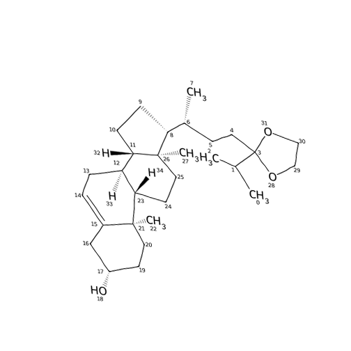 CC(C)C1(CC[C@@H](C)[C@H]2CC[C@H]3[C@@H]4CC=C5C[C@@H](O)CC[C@]5(C)[C@H]4CC[C@]23C)OCCO1